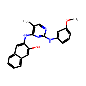 COc1cccc(Nc2ncc(C)c(Nc3cc4ccccc4cc3O)n2)c1